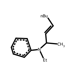 CCCC/C=C/C(C)N(CC)c1ccccc1